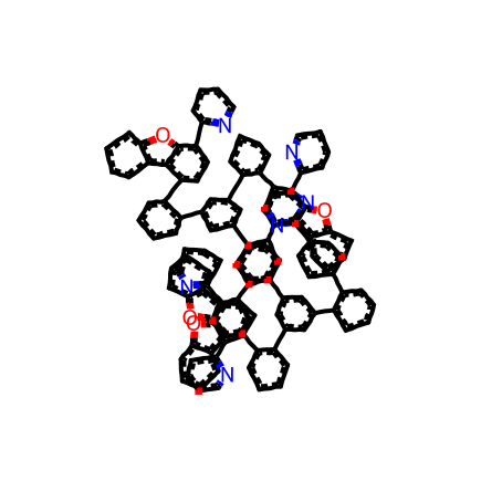 c1ccc(-c2ccc(-c3ccccc3-c3cc(-c4ccccc4-c4ccc(-c5ncc(-c6ccccc6-c6cc(-c7ccccc7-c7ccc(-c8ccccn8)c8oc9ccccc9c78)cc(-c7ccccc7-c7ccc(-c8ccccn8)c8oc9ccccc9c78)c6)cn5)cc4)cc(-c4ccccc4-c4ccc(-c5ccccn5)c5oc6ccccc6c45)c3)c3c2oc2ccccc23)nc1